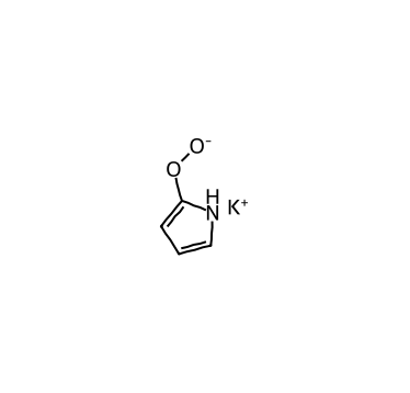 [K+].[O-]Oc1ccc[nH]1